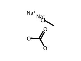 CCl.O=C([O-])[O-].[Na+].[Na+]